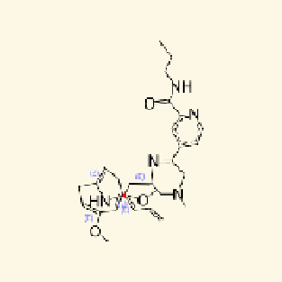 C=C/C=C(\C=C1/CN(C)CC(c2ccnc(C(=O)NCCC)c2)=N1)N/C1=C\C/C(OC)=C\C(OC)=C/C1